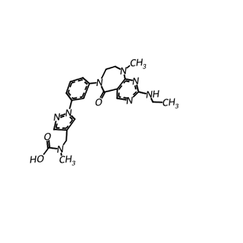 CCNc1ncc2c(n1)N(C)CCN(c1cccc(-n3cc(CN(C)C(=O)O)cn3)c1)C2=O